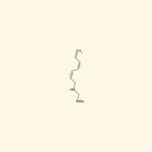 C=C/C=C\C=C/CNCNC